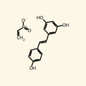 C=C[N+](=O)[O-].Oc1ccc(C=Cc2cc(O)cc(O)c2)cc1